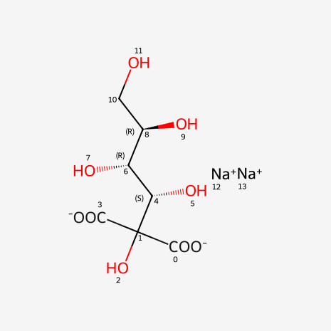 O=C([O-])C(O)(C(=O)[O-])[C@@H](O)[C@H](O)[C@H](O)CO.[Na+].[Na+]